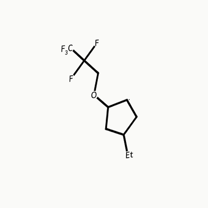 [CH2]CC1C[CH]C(OCC(F)(F)C(F)(F)F)C1